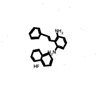 F.Nc1cccc(N)c1C=Cc1ccccc1.c1ccc2ccccc2c1